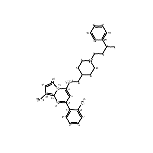 CC(CCN1CCC(CNc2cc(-c3ccccc3Cl)nc3c(Br)cnn23)CC1)c1ccccc1